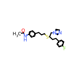 CC(=O)Nc1ccc(CCCSC(CCc2ccc(F)cc2)Cn2ccnc2)cc1